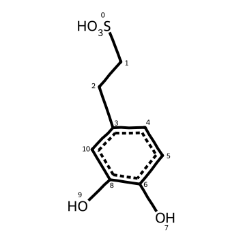 O=S(=O)(O)CCc1ccc(O)c(O)c1